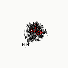 CC[C@H](C)[C@H](NC(=O)[C@H](C)NC(=O)[C@H](CCCCN)NC(=O)[C@@H](N)Cc1c[nH]c2ccccc12)C(=O)N[C@@H](CCCN=C(N)N)C(=O)N[C@@H](CCCN=C(N)N)C(=O)N[C@@H](Cc1ccccc1)C(=O)N[C@H](C(=O)N[C@@H](CO)C(=O)N[C@@H](CCC(N)=O)C(=O)N[C@H](C(=O)N[C@H](C(=O)N[C@@H](CCSC)C(=O)O)[C@@H](C)CC)C(C)C)C(C)C